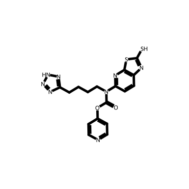 O=C(Oc1ccncc1)N(CCCCc1nn[nH]n1)c1ccc2nc(S)sc2n1